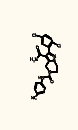 N#Cc1ccc(NC(=O)N2CCn3nc(-c4cc(Cl)ccc4Cl)c(C(N)=O)c3C2)cc1